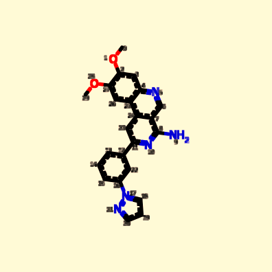 COc1cc2ncc3c(N)nc(-c4cccc(-n5cccn5)c4)cc3c2cc1OC